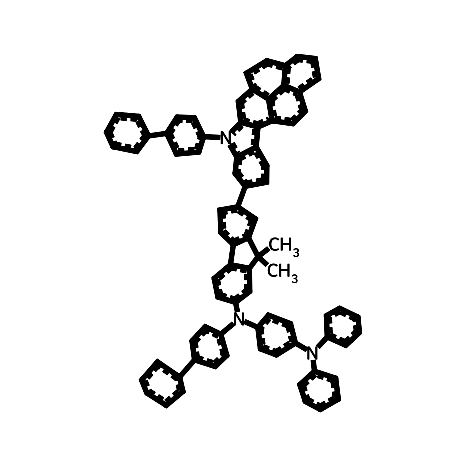 CC1(C)c2cc(-c3ccc4c5c6ccc7cccc8ccc(cc5n(-c5ccc(-c9ccccc9)cc5)c4c3)c6c87)ccc2-c2ccc(N(c3ccc(-c4ccccc4)cc3)c3ccc(N(c4ccccc4)c4ccccc4)cc3)cc21